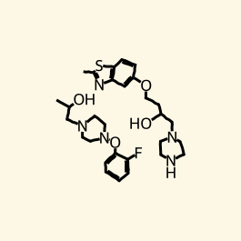 CC(O)CN1CCN(Oc2ccccc2F)CC1.Cc1nc2cc(OCCC(O)CN3CCNCC3)ccc2s1